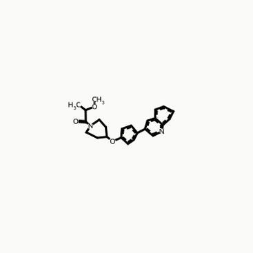 COC(C)C(=O)N1CCC(Oc2ccc(-c3cnc4ccccc4c3)cc2)CC1